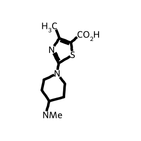 CNC1CCN(c2nc(C)c(C(=O)O)s2)CC1